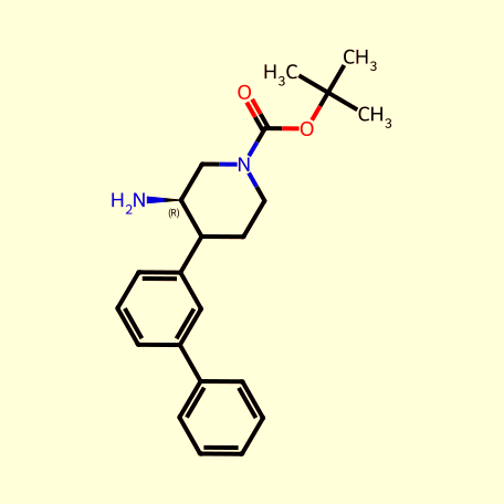 CC(C)(C)OC(=O)N1CCC(c2cccc(-c3ccccc3)c2)[C@@H](N)C1